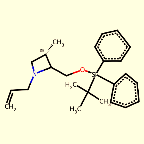 C=CCN1C[C@H](C)C1CO[Si](c1ccccc1)(c1ccccc1)C(C)(C)C